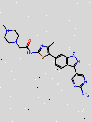 Cc1nc(NC(=O)CN2CCN(C)CC2)sc1-c1ccc2c(-c3cnc(N)nc3)n[nH]c2c1